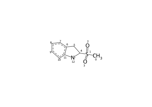 CS(=O)(=O)C1Cc2ccccc2[N]1